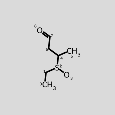 CC[S+]([O-])C(C)CC=O